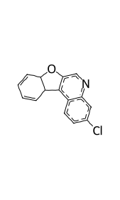 Clc1ccc2c3c(cnc2c1)OC1C=CC=CC31